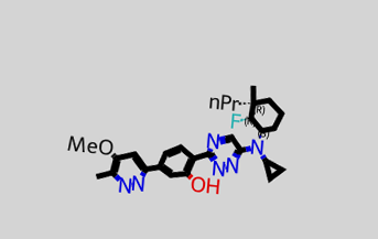 CCC[C@]1(C)CCC[C@H](N(c2cnc(-c3ccc(-c4cc(OC)c(C)nn4)cc3O)nn2)C2CC2)[C@@H]1F